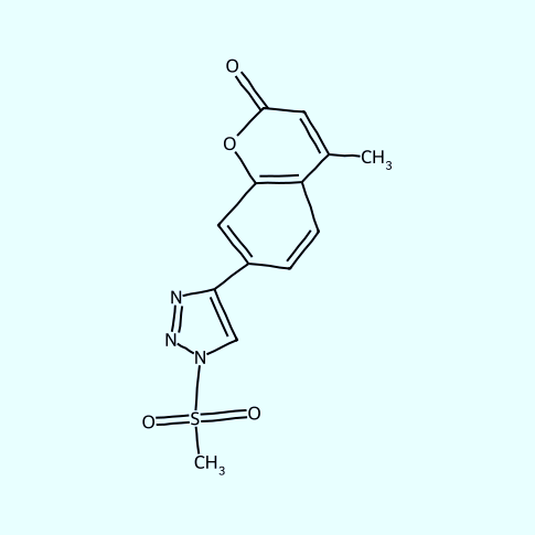 Cc1cc(=O)oc2cc(-c3cn(S(C)(=O)=O)nn3)ccc12